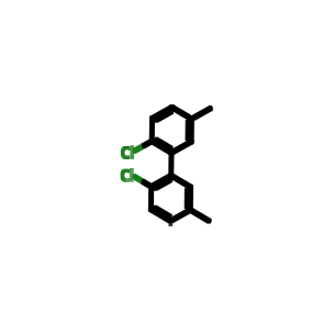 Cc1[c]cc(Cl)c(-c2cc(C)ccc2Cl)c1